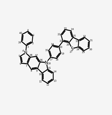 c1ccc(-n2ccc3cc4c5ccccc5n(-c5ccc(-c6cccc7c6sc6ccccc67)cc5)c4cc32)cc1